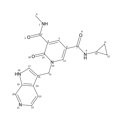 CNC(=O)c1cc(C(=O)NC2CC2)cn(Cc2c[nH]c3cnccc23)c1=O